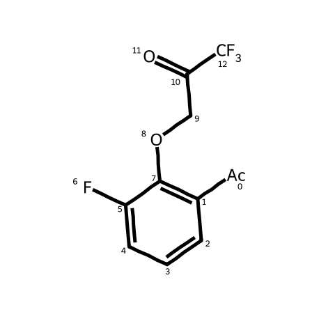 CC(=O)c1cccc(F)c1OCC(=O)C(F)(F)F